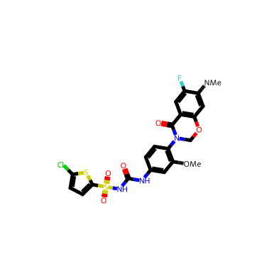 CNc1cc2c(cc1F)C(=O)N(c1ccc(NC(=O)NS(=O)(=O)c3ccc(Cl)s3)cc1OC)CO2